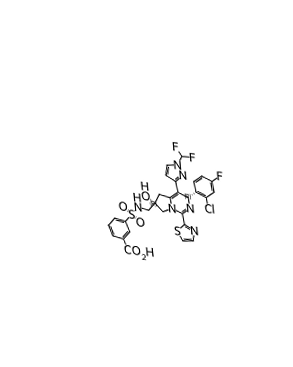 O=C(O)c1cccc(S(=O)(=O)NC[C@@]2(O)CC3=C(c4ccn(C(F)F)n4)[C@H](c4ccc(F)cc4Cl)N=C(c4nccs4)N3C2)c1